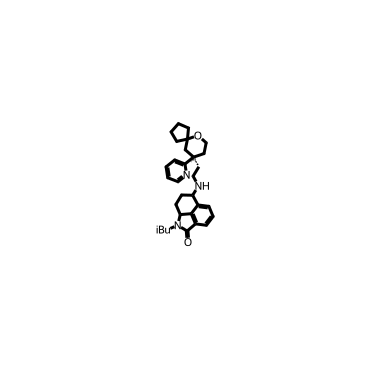 CCC(C)N1C(=O)c2cccc3c2C1CCC3NCC[C@@]1(c2ccccn2)CCOC2(CCCC2)C1